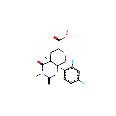 C=C1N[C@@]2(c3ccc(F)cc3F)CO[C@@H](C(=O)OC)C[C@H]2C(=O)N1C